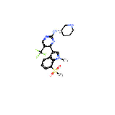 Cn1cc(-c2nc(N[C@H]3CCCNC3)ncc2C(F)(F)F)c2cccc(S(C)(=O)=O)c21